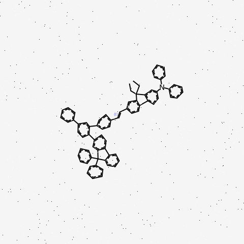 CCC1(CC)c2cc(/C=C/c3ccc(-c4cc(-c5ccccc5)ccc4-c4ccc5c(c4)C(c4ccccc4)(c4ccccc4)c4ccccc4-5)cc3)ccc2-c2ccc(N(c3ccccc3)c3ccccc3)cc21